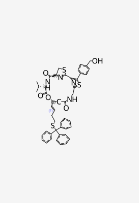 CC(C)[C@@H]1NC(=O)[C@]2(C)CSC(=N2)c2nc(sc2-c2ccc(CO)cc2)CNC(=O)C[C@@H](/C=C/CCSC(c2ccccc2)(c2ccccc2)c2ccccc2)OC1=O